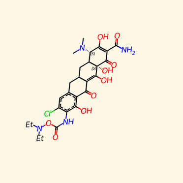 CCN(CC)OC(=O)Nc1c(Cl)cc2c(c1O)C(=O)C1=C(O)[C@]3(O)C(=O)C(C(N)=O)=C(O)[C@@H](N(C)C)C3CC1C2